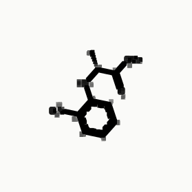 COC(=O)[C@@H](C)Nc1ccccc1[N+](=O)[O-]